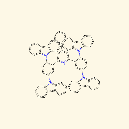 c1ccc(-c2cc(-c3cc(-n4c5ccccc5c5ccccc54)ccc3-n3c4ccccc4c4ccccc43)nc(-c3cc(-n4c5ccccc5c5ccccc54)ccc3-n3c4ccccc4c4ccccc43)c2)cc1